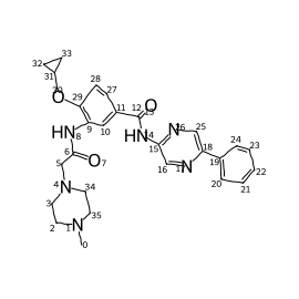 CN1CCN(CC(=O)Nc2cc(C(=O)Nc3cnc(-c4ccccc4)cn3)ccc2OC2CC2)CC1